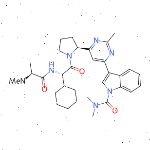 CN[C@@H](C)C(=O)N[C@H](C(=O)N1CCC[C@H]1c1cc(-c2cn(C(=O)N(C)C)c3ccccc23)nc(C)n1)C1CCCCC1